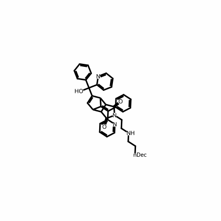 CCCCCCCCCCCCNCCN1C(=O)C2C3C=C(C(O)(c4ccccc4)c4ccccn4)C(C3=C(c3ccccc3)c3ccccn3)C2C1=O